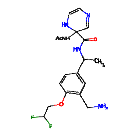 CC(=O)NC1(C(=O)NC(C)c2ccc(OCC(F)F)c(CN)c2)C=NC=CN1